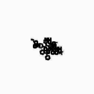 C=CCOC(=O)N1CCC(CC(=C2CCNC2=O)C2=C(C(=O)OC(c3ccccc3)c3ccccc3)N3C(=O)[C@@H](NC(=O)OC(C)(C)C)[C@H]3[S@@+]([O-])C2)CC1